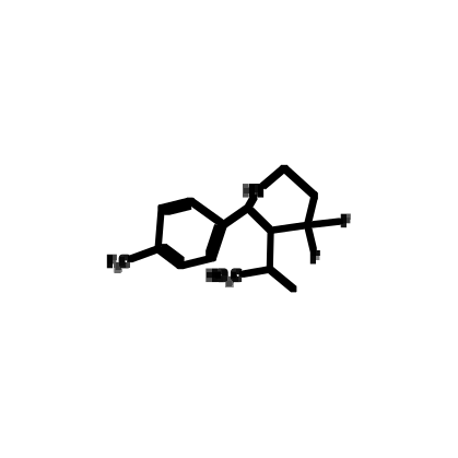 CC(C(=O)O)C1C(c2ccc(C(F)(F)F)cc2)NCCC1(F)F